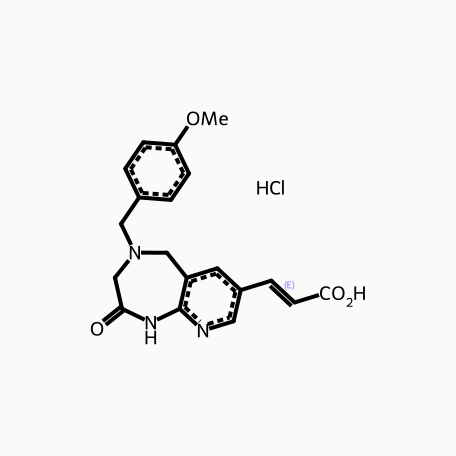 COc1ccc(CN2CC(=O)Nc3ncc(/C=C/C(=O)O)cc3C2)cc1.Cl